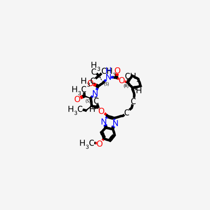 CC[C@@H]1[C@@H]2CN(C(=O)[C@H](C(C)(C)C)NC(=O)O[C@]3(C)CCC[C@H]3CCCCCc3nc4ccc(OC)cc4nc3O2)[C@@H]1C(C)=O